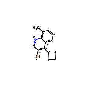 Cc1cccc2c(C3CCC3)c(S)cnc12